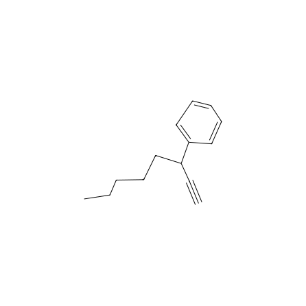 C#CC(CCCCC)c1ccccc1